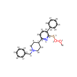 COOSc1nc(C2CCN(Cc3ccccc3)CC2)ccc1-c1ccccc1